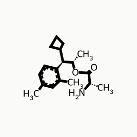 Cc1ccc([C@@H](C2CCC2)[C@H](C)OC(=O)[C@H](C)N)c(C)c1